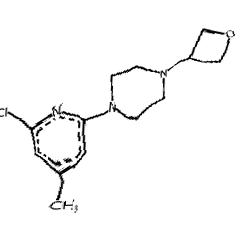 Cc1cc(Cl)nc(N2CCN(C3COC3)CC2)c1